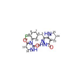 O=c1[nH]nc(Cc2ccc(F)c(-n3c(=O)cc[nH]c3=O)c2)c2c1CCCN2